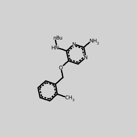 CCCCNc1nc(N)ncc1OCc1ccccc1C